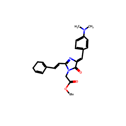 CN(C)c1ccc(/C=C2N=C(/C=C/C3=CCCC=C3)N(CC(=O)OC(C)(C)C)C\2=O)cc1